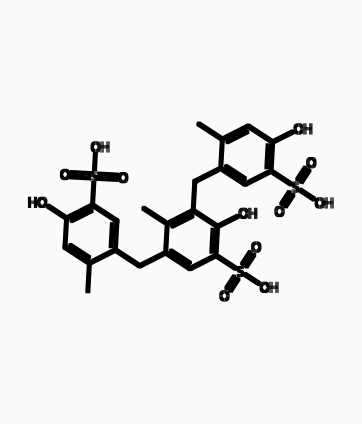 Cc1cc(O)c(S(=O)(=O)O)cc1Cc1cc(S(=O)(=O)O)c(O)c(Cc2cc(S(=O)(=O)O)c(O)cc2C)c1C